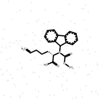 C=CCCC[C@@H](C(=O)O)N(C(=O)OC)C1c2ccccc2-c2ccccc21